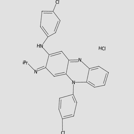 CC(C)N=c1cc2n(-c3ccc(Cl)cc3)c3ccccc3nc-2cc1Nc1ccc(Cl)cc1.Cl